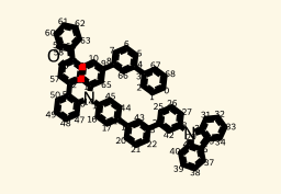 c1ccc(-c2cccc(-c3cccc(N(c4ccc(-c5cccc(-c6cccc(-n7c8ccccc8c8ccccc87)c6)c5)cc4)c4ccccc4-c4ccc5c(c4)oc4ccccc45)c3)c2)cc1